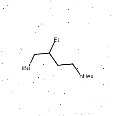 [CH2]C(CC)CC(CC)CCCCCCCC